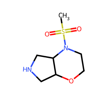 CS(=O)(=O)N1CCOC2CNCC21